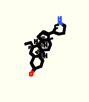 CC[C@@H]1CC2CC(=O)CC[C@]2(C)[C@H]2CC[C@]3(C)C(C4CCCNC4)=CC[C@H]3[C@H]12